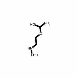 NC(O)OCCNC=O